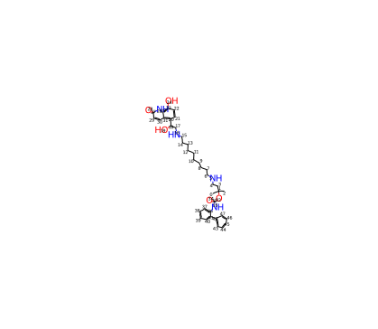 CC(C)(CCNCCCCCCCCCCNCC(O)c1ccc(O)c2[nH]c(=O)ccc12)OC(=O)Nc1ccccc1-c1ccccc1